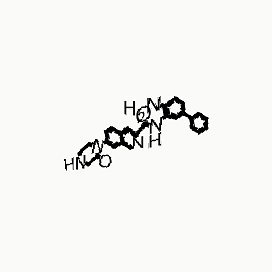 Nc1ccc(-c2ccccc2)cc1NC(=O)c1cc2ccc(N3CCNCC3=O)cc2cn1